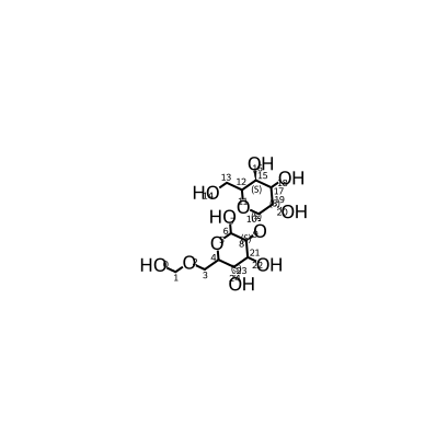 OCOCC1OC(O)[C@@H](O[C@@H]2OC(CO)[C@@H](O)C(O)[C@@H]2O)C(O)[C@@H]1O